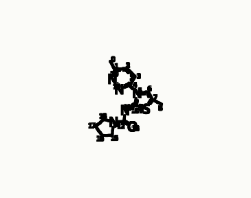 Cc1ccc(-n2cc(C)s/c2=N\C(=O)N2CCCC2)nn1